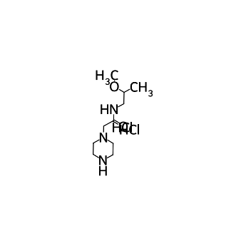 COC(C)CNC(=O)CN1CCNCC1.Cl.Cl